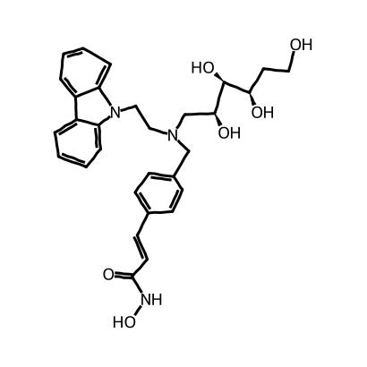 O=C(/C=C/c1ccc(CN(CCn2c3ccccc3c3ccccc32)C[C@H](O)[C@@H](O)[C@H](O)CCO)cc1)NO